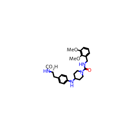 COc1cccc(CNC(=O)N2CCC(Nc3ccc(CCNC(=O)O)cc3)CC2)c1OC